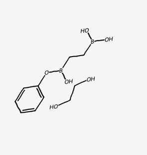 OB(O)CCB(O)Oc1ccccc1.OCCO